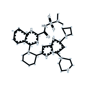 CN(C)S(=O)(=O)NC(=O)c1nc(N2CCCCC2c2cc3nc(N4CCC4)cc(N4CCOCC4)n3n2)c2ccccc2n1